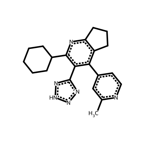 Cc1cc(-c2c3c(nc(C4CCCCC4)c2-c2nn[nH]n2)CCC3)ccn1